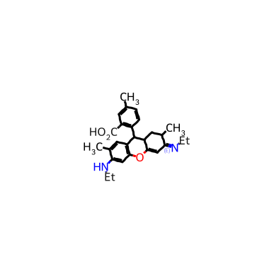 CC/N=C1/C=C2Oc3cc(NCC)c(C)cc3C(c3ccc(C)cc3C(=O)O)C2CC1C